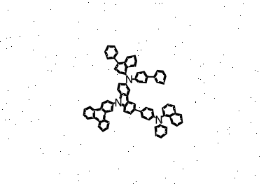 c1ccc(-c2ccc(N(c3ccc4c(c3)c3cc(-c5ccc(N(c6ccccc6)c6cccc7ccccc67)cc5)ccc3n4-c3ccc4c5ccccc5c5ccccc5c4c3)c3ccc(-c4ccccc4)c4ccccc34)cc2)cc1